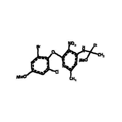 CCC(C)(Nc1cc(C)nc(Oc2c(Cl)cc(OC)cc2Br)c1[N+](=O)[O-])OC